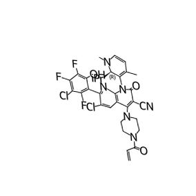 C=CC(=O)N1CCN(c2c(C#N)c(=O)n(C3=C(C)C=CN(C)[C@@H]3C(C)C)c3nc(-c4c(O)c(F)c(F)c(Cl)c4F)c(Cl)cc23)CC1